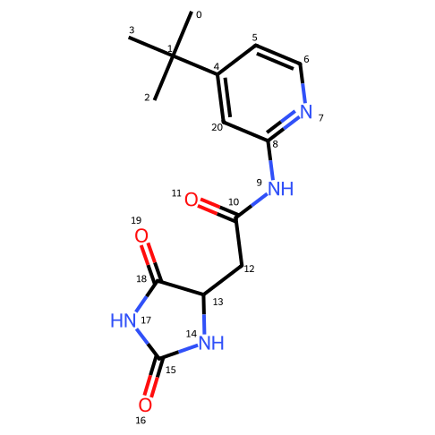 CC(C)(C)c1ccnc(NC(=O)CC2NC(=O)NC2=O)c1